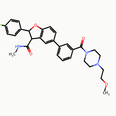 CNC(=O)C1c2cc(-c3cccc(C(=O)N4CCN(CCOC)CC4)c3)ccc2OC1c1ccc(F)cc1